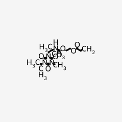 C=CC(=O)OCCOC(=O)NC(C)(C)Cn1c(=O)n(C)c(=O)n(C(C)C)c1=O